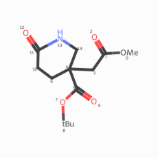 COC(=O)CC1(C(=O)OC(C)(C)C)CCC(=O)NC1